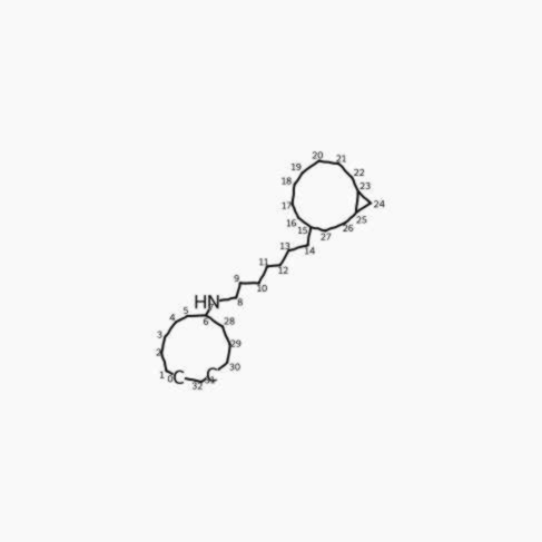 C1CCCCCC(NCCCCCCCC2CCCCCCCC3CC3CC2)CCCCC1